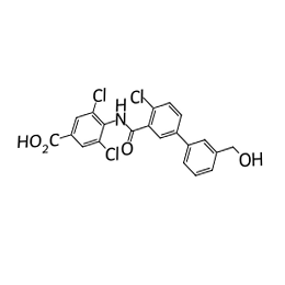 O=C(O)c1cc(Cl)c(NC(=O)c2cc(-c3cccc(CO)c3)ccc2Cl)c(Cl)c1